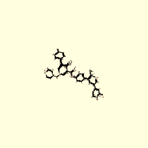 Cc1ccc(-c2cn(CC3CCOCC3)cc(C(=O)Nc3ccc(-c4cc(-c5ccnc(C)c5)cnc4N)cc3)c2=O)cc1